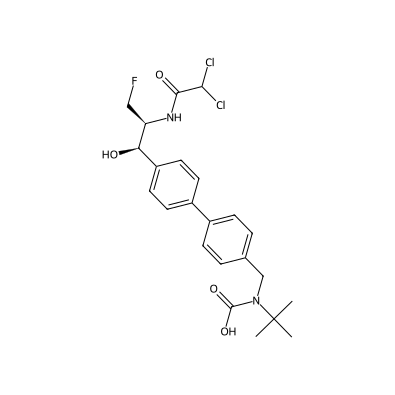 CC(C)(C)N(Cc1ccc(-c2ccc([C@@H](O)[C@@H](CF)NC(=O)C(Cl)Cl)cc2)cc1)C(=O)O